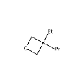 CCC1(C(C)C)COC1